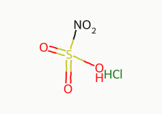 Cl.O=[N+]([O-])S(=O)(=O)O